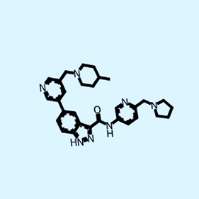 CC1CCN(Cc2cncc(-c3ccc4[nH]nc(C(=O)Nc5ccc(CN6CCCC6)nc5)c4c3)c2)CC1